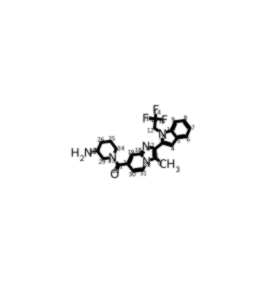 Cc1c(-c2cc3ccccc3n2CC(F)(F)F)nc2cc(C(=O)N3CCC[C@@H](N)C3)ccn12